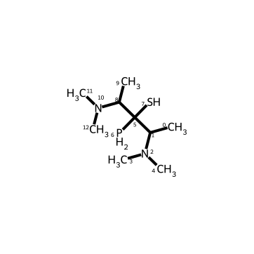 CC(N(C)C)C(P)(S)C(C)N(C)C